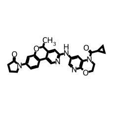 CC1Oc2cc(N3CCCC3=O)ccc2-c2cnc(Nc3cnc4c(c3)N(C(=O)C3CC3)CCO4)cc21